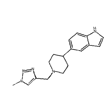 Cn1cc(CN2CCC(c3ccc4[nH]ccc4c3)CC2)nn1